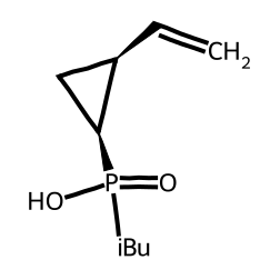 C=C[C@@H]1C[C@@H]1P(=O)(O)C(C)CC